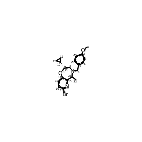 COc1ccc(CN2C[C@@H](C3CC3)Oc3ccc(Br)nc3C2C)cc1